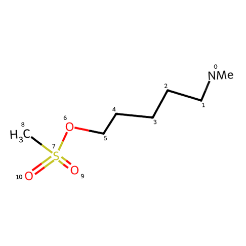 CNCCCCCOS(C)(=O)=O